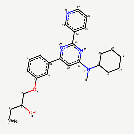 CNCC(O)COc1cccc(-c2cc(N(C)C3CCCCC3)nc(-c3cccnc3)n2)c1